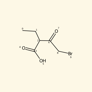 CCC(C(=O)O)C(=O)CBr